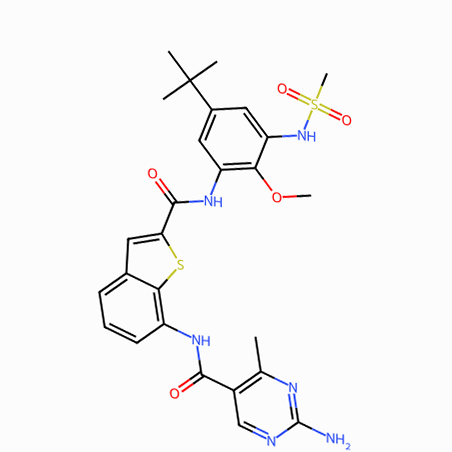 COc1c(NC(=O)c2cc3cccc(NC(=O)c4cnc(N)nc4C)c3s2)cc(C(C)(C)C)cc1NS(C)(=O)=O